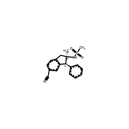 C[C@@]1(NS(C)(=O)=O)Cc2ccc(C#N)cc2[C@@H]1c1ccccc1